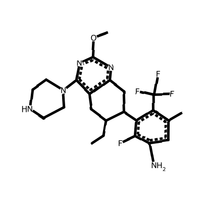 CCC1Cc2c(nc(OC)nc2N2CCNCC2)CC1c1c(F)c(N)cc(C)c1C(F)(F)F